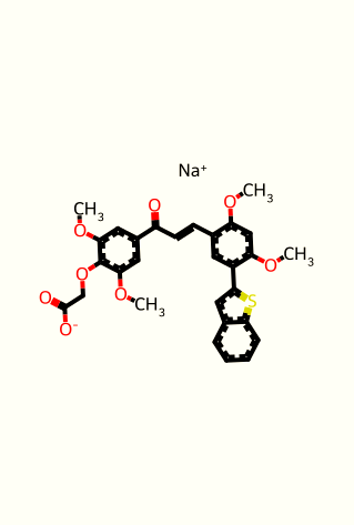 COc1cc(OC)c(-c2cc3ccccc3s2)cc1C=CC(=O)c1cc(OC)c(OCC(=O)[O-])c(OC)c1.[Na+]